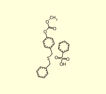 COC(=O)Oc1ccc(CSCc2ccccc2)cc1.O=S(=O)(O)c1ccccc1